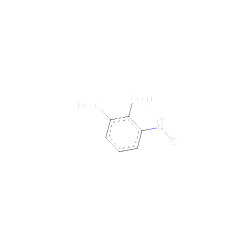 CCNc1cccc(C(=O)O)c1C(=O)O